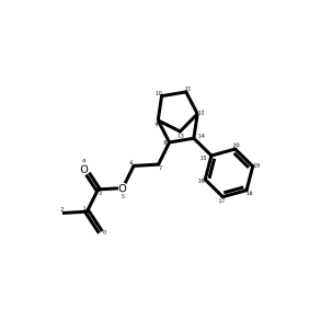 C=C(C)C(=O)OCCC1C2CCC(C2)C1c1ccccc1